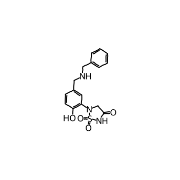 O=C1CN(c2cc(CNCc3ccccc3)ccc2O)S(=O)(=O)N1